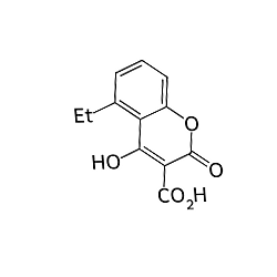 CCc1cccc2oc(=O)c(C(=O)O)c(O)c12